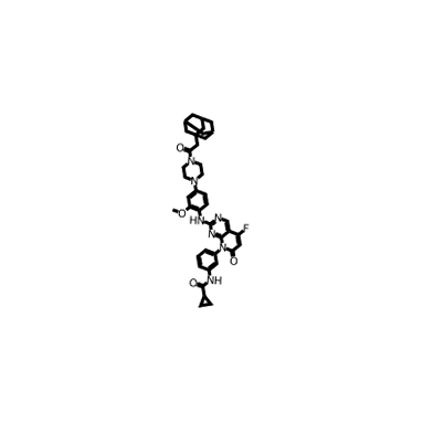 COc1cc(N2CCN(C(=O)CC34CC5CC(CC(C5)C3)C4)CC2)ccc1Nc1ncc2c(F)cc(=O)n(-c3cccc(NC(=O)C4CC4)c3)c2n1